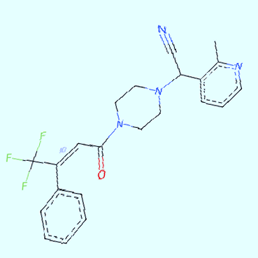 Cc1ncccc1C(C#N)N1CCN(C(=O)/C=C(\c2ccccc2)C(F)(F)F)CC1